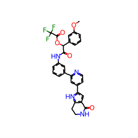 COc1cccc(C(OC(=O)C(F)(F)F)C(=O)Nc2cccc(-c3cc(-c4cc5c([nH]4)CCNC5=O)ccn3)c2)c1